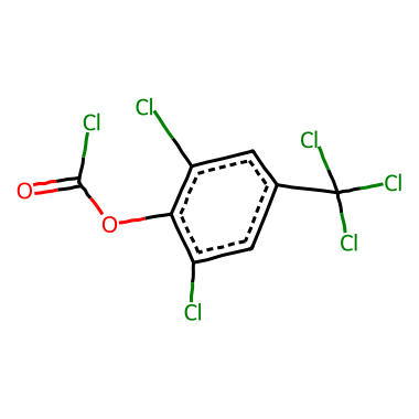 O=C(Cl)Oc1c(Cl)cc(C(Cl)(Cl)Cl)cc1Cl